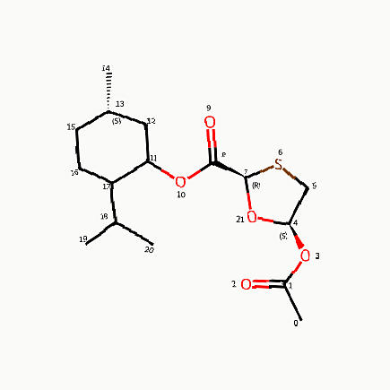 CC(=O)O[C@@H]1CS[C@H](C(=O)OC2C[C@@H](C)CCC2C(C)C)O1